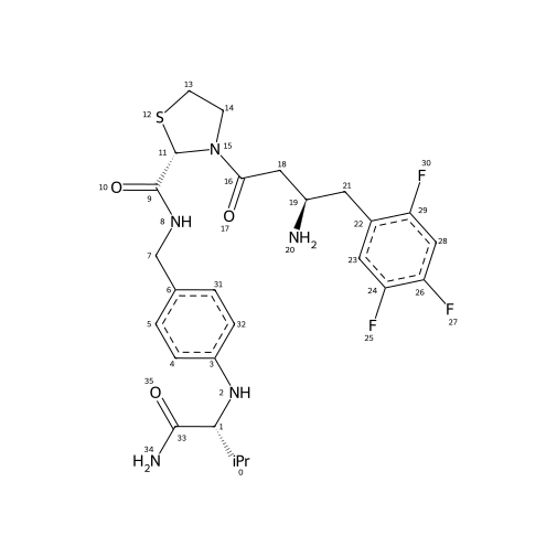 CC(C)[C@@H](Nc1ccc(CNC(=O)[C@@H]2SCCN2C(=O)C[C@H](N)Cc2cc(F)c(F)cc2F)cc1)C(N)=O